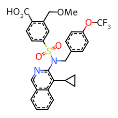 COCc1cc(S(=O)(=O)N(Cc2ccc(OC(F)(F)F)cc2)c2ncc3ccccc3c2C2CC2)ccc1C(=O)O